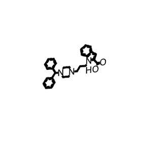 O=C(O)c1cc2ccccc2n1CCCN1CCN(C(c2ccccc2)c2ccccc2)CC1